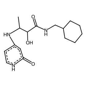 CC(Nc1cc[nH]c(=O)c1)C(O)C(=O)NCC1CCCCC1